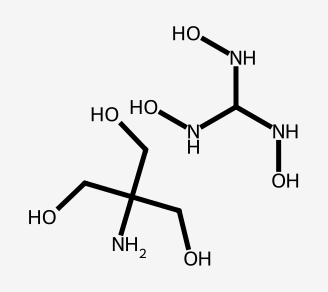 NC(CO)(CO)CO.ONC(NO)NO